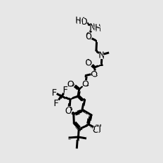 CN(CCONO)CC(=O)OCOC(=O)C1=Cc2cc(Cl)c(C(C)(C)C)cc2OC1C(F)(F)F